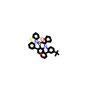 Cc1cc2c3c(c1)N(c1ccc(C(C)(C)C)cc1-c1ccccc1)c1c(oc4ccccc14)B3N1c3ccccc3Sc3cccc-2c31